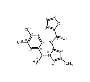 Cc1cc(OC(=O)c2ncco2)n(C(C)c2ccc(Cl)c(Cl)c2)n1